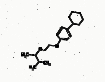 CC(C)C(C)OCCOc1ccc(C2CCCCC2)cc1